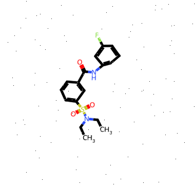 CCN(CC)S(=O)(=O)c1cccc(C(=O)Nc2cccc(F)c2)c1